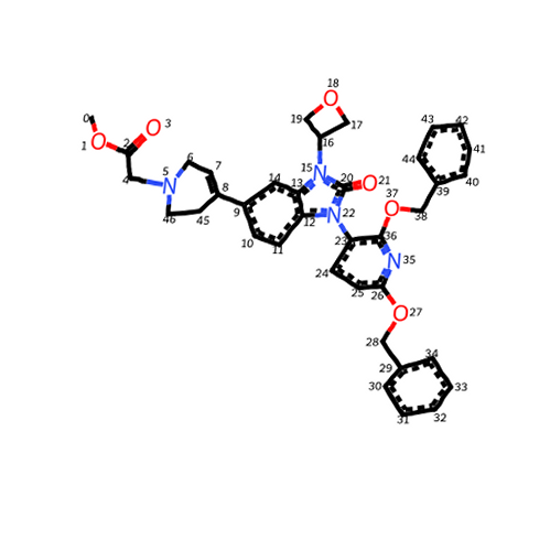 COC(=O)CN1CC=C(c2ccc3c(c2)n(C2COC2)c(=O)n3-c2ccc(OCc3ccccc3)nc2OCc2ccccc2)CC1